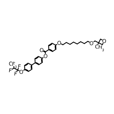 CC1(COCCCCCCCCOc2ccc(C(=O)Oc3ccc(-c4ccc(OC(F)(F)C(F)C(F)(F)F)cc4)cc3)cc2)COC1